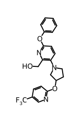 OCc1nc(Oc2ccccc2)ccc1N1CCC(Oc2ccc(C(F)(F)F)cn2)C1